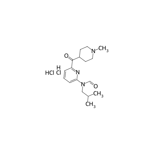 CC(C)CN(C=O)c1cccc(C(=O)C2CCN(C)CC2)n1.Cl.Cl